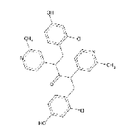 Cc1cc(C(Cc2ccc(O)cc2Cl)C(=O)C(Cc2ccc(O)cc2Cl)c2ccnc(C)c2)ccn1